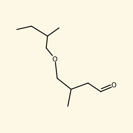 CCC(C)COCC(C)CC=O